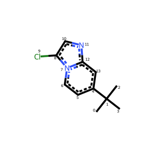 CC(C)(C)c1ccn2c(Cl)cnc2c1